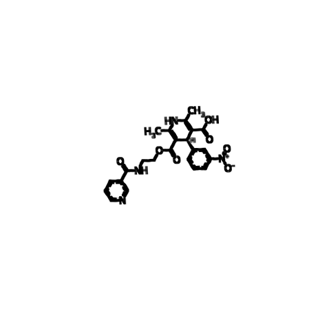 CC1=C(C(=O)O)[C@@H](c2cccc([N+](=O)[O-])c2)C(C(=O)OCCNC(=O)c2cccnc2)=C(C)N1